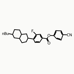 CCCCC1CCC2CC(c3ccc(C(=O)Oc4ccc(C#N)cc4)cc3F)CCC2C1